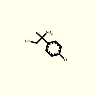 CC(N)(CO)c1ccc(Cl)cc1